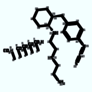 CC(=O)O.CC(=O)O.CC(=O)O.CC(=O)O.CC(=O)O.NCCNCCN[C@@H]1CCCC[C@H]1Cc1ccc(N=C=S)cc1